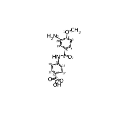 COc1ccc(C(=O)Nc2ccc(S(=O)(=O)O)cc2)cc1N